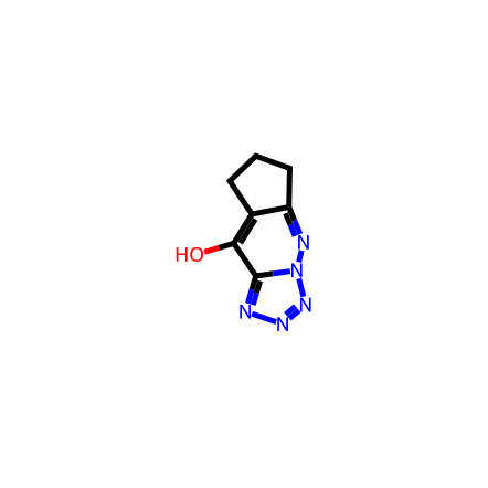 Oc1c2c(nn3nnnc13)CCC2